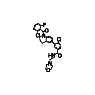 O=C(NCCN1CCOCC1)c1ccc(Cl)c(-c2ccc3c(c2)CCCN3C(=O)c2c(F)cccc2Cl)c1